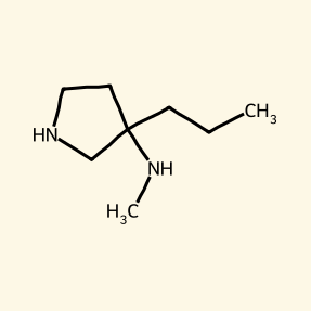 CCCC1(NC)CCNC1